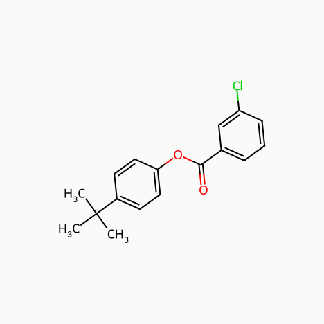 CC(C)(C)c1ccc(OC(=O)c2cccc(Cl)c2)cc1